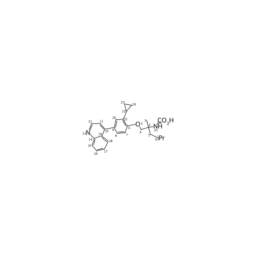 CC(C)CC(C)(COc1ccc(-c2ccnc3ccccc23)cc1C1CC1)NC(=O)O